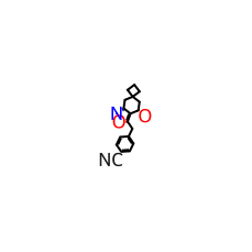 N#Cc1ccc(Cc2onc3c2C(=O)CC2(CCC2)C3)cc1